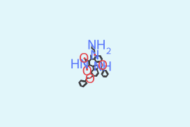 NCCn1cc(C2=C(c3c[nH]c4ccc(OCc5ccccc5)cc34)C(=O)NC2=O)c2cc(OCc3ccccc3)ccc21